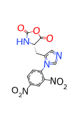 O=C1N[C@@H](Cc2cncn2-c2ccc([N+](=O)[O-])cc2[N+](=O)[O-])C(=O)O1